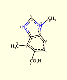 Cc1c(C(=O)O)ccc2c1ncn2C